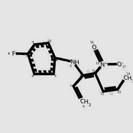 C=C/C(Nc1ccc(F)cc1)=C(\C=C/C)[N+](=O)[O-]